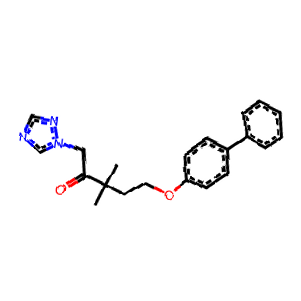 CC(C)(CCOc1ccc(-c2ccccc2)cc1)C(=O)Cn1cncn1